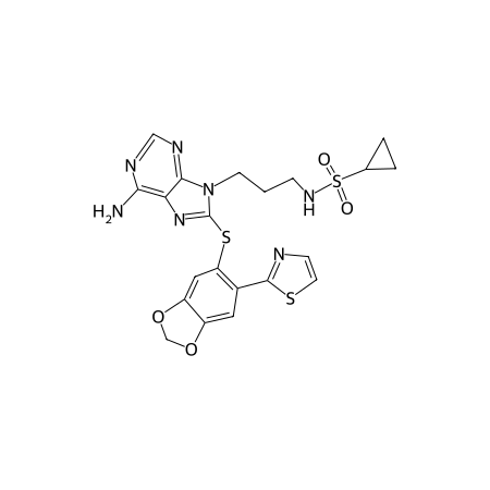 Nc1ncnc2c1nc(Sc1cc3c(cc1-c1nccs1)OCO3)n2CCCNS(=O)(=O)C1CC1